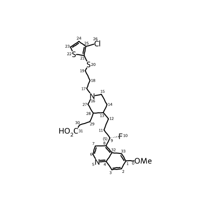 COc1ccc2nccc([C@@H](F)CCC3CCN(CCCSc4sccc4Cl)CC3CCC(=O)O)c2c1